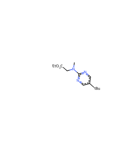 CCOC(=O)CN(C)c1ncc(C(C)(C)C)cn1